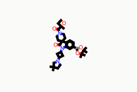 CC1(C)CCN(C2CC(N3C(=O)C4(CCN(C(=O)C5(C)CCO5)CC4)c4ccc(B5OC(C)(C)C(C)(C)O5)cc43)C2)C1